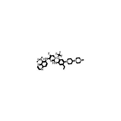 CCc1cc(Nc2ncc(F)c(Nc3ccc4nccnc4c3N(C)SC)n2)c(OC(F)(F)F)cc1N1CCC(N2CCN(C)CC2)CC1